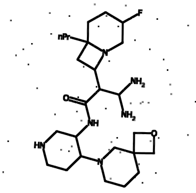 CCCC12CCC(F)CN1C(C(C(=O)NC1CNCCC1N1CCCC3(COC3)C1)C(N)N)C2